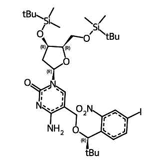 CC(C)(C)[C@@H](OCc1cn([C@H]2C[C@@H](O[Si](C)(C)C(C)(C)C)[C@@H](CO[Si](C)(C)C(C)(C)C)O2)c(=O)nc1N)c1ccc(I)cc1[N+](=O)[O-]